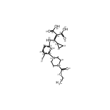 CCOC(=O)N1CCN(c2nc(NC(=C(C(=O)O)C(=O)O)C3CC3)ccc2F)CC1